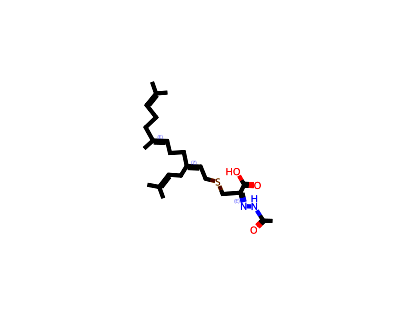 CC(=O)N/N=C(/CSC/C=C(\CC=C(C)C)CC/C=C(\C)CCC=C(C)C)C(=O)O